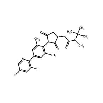 Cc1cc(-c2ncc(F)cc2F)cc(C)c1C1C(=O)CC(CC(=O)N(C)C(C)(C)C)C1=O